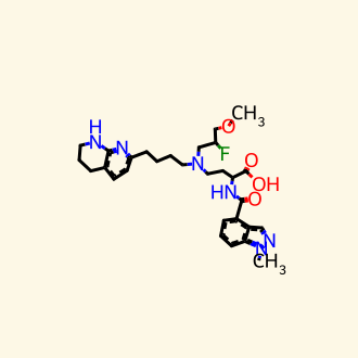 COCC(F)CN(CCCCc1ccc2c(n1)NCCC2)CCC(NC(=O)c1cccc2c1cnn2C)C(=O)O